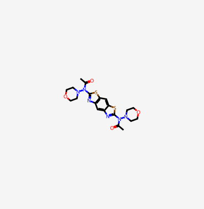 CC(=O)N(c1nc2cc3nc(N(C(C)=O)N4CCOCC4)sc3cc2s1)N1CCOCC1